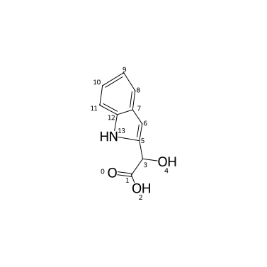 O=C(O)C(O)c1cc2ccccc2[nH]1